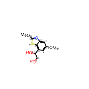 COc1cc(C(O)CO)c2sc(OC)nc2c1